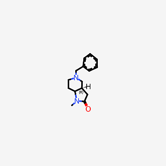 CN1C(=O)C[C@@H]2CN(Cc3ccccc3)CCC21